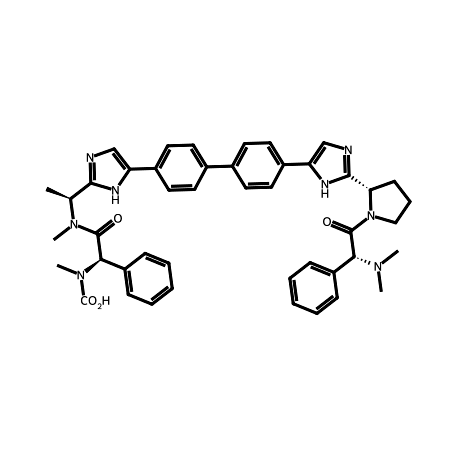 C[C@@H](c1ncc(-c2ccc(-c3ccc(-c4cnc([C@@H]5CCCN5C(=O)[C@@H](c5ccccc5)N(C)C)[nH]4)cc3)cc2)[nH]1)N(C)C(=O)[C@@H](c1ccccc1)N(C)C(=O)O